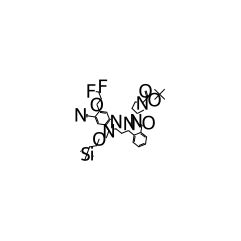 CC(C)(C)OC(=O)N1CCC(n2nc(Cc3nc4cc(OCC(F)F)c(C#N)cc4n3COCC[Si](C)(C)C)c3ccccc3c2=O)C1